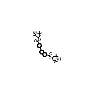 CC1(C)CC(OC(=O)c2ccc(-c3ccc4ccc(C(=O)OC5CC(C)(C)NC(C)(C)C5)cc4c3)cc2)CC(C)(C)N1